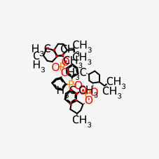 CC(C)C1CC[C@@H](C)C[C@H]1OP(Oc1ccccc1P(=O)(c1ccccc1)c1ccccc1OP(O[C@@H]1C[C@H](C)CCC1C(C)C)O[C@@H]1C[C@H](C)CC[C@H]1C(C)C)O[C@@H]1C[C@H](C)CC[C@H]1C(C)C